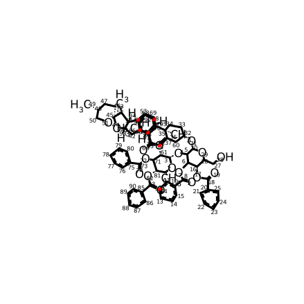 CC1O[C@@H](OC2C(OC(=O)c3ccccc3)[C@H](OC(=O)c3ccccc3)C(CO)O[C@H]2O[C@H]2CC[C@@]3(C)C(=CC[C@H]4[C@@H]5C[C@@H]6O[C@]7(CC[C@@H](C)CO7)[C@@H](C)[C@@H]6[C@@]5(C)CC[C@@H]43)C2)[C@@H](OC(=O)c2ccccc2)C(OC(=O)c2ccccc2)[C@H]1OC(=O)c1ccccc1